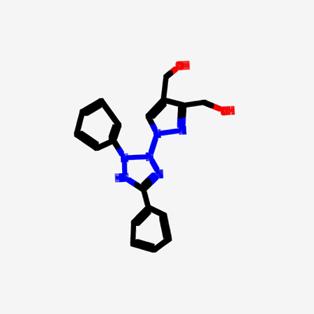 OCc1cn(N2N=C(c3ccccc3)NN2c2ccccc2)nc1CO